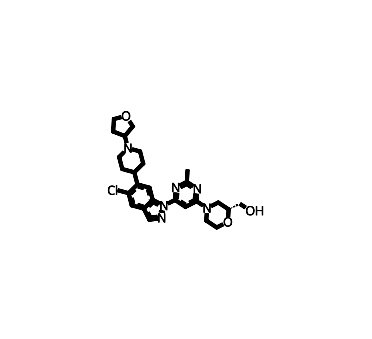 Cc1nc(N2CCO[C@@H](CO)C2)cc(-n2ncc3cc(Cl)c(C4CCN(C5CCOC5)CC4)cc32)n1